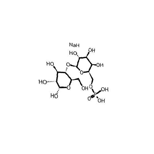 O=P(O)(O)OC[C@H]1O[C@@H](O[C@H]2[C@H](O)[C@@H](O)[C@@H](O)O[C@@H]2CO)[C@H](O)[C@@H](O)[C@H]1O.[NaH]